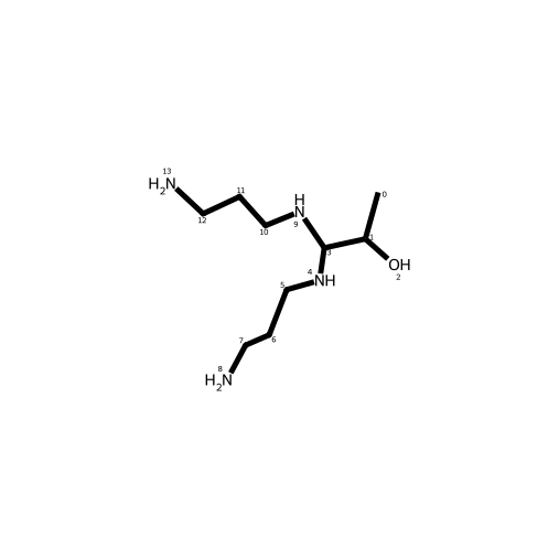 CC(O)C(NCCCN)NCCCN